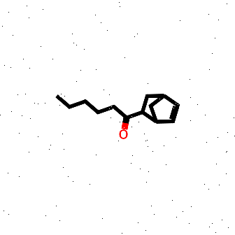 CCCCCC(=O)C1CC2C=CC1C2